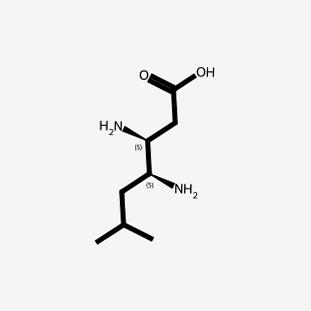 CC(C)C[C@H](N)[C@@H](N)CC(=O)O